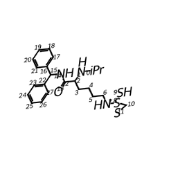 CC(C)NC(CCCCNS1(S)CS1)C(=O)NC(c1ccccc1)c1ccccc1